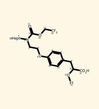 CCCCCCCN(CCOc1ccc(CC(OCC)C(=O)O)cc1)C(=O)OCC(F)(F)F